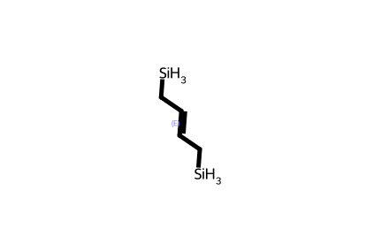 [SiH3]C/C=C/C[SiH3]